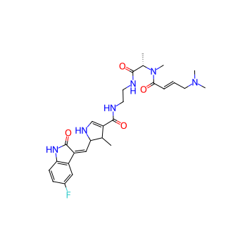 CC1C(C(=O)NCCNC(=O)[C@H](C)N(C)C(=O)/C=C/CN(C)C)=CNC1/C=C1\C(=O)Nc2ccc(F)cc21